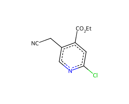 CCOC(=O)c1cc(Cl)ncc1CC#N